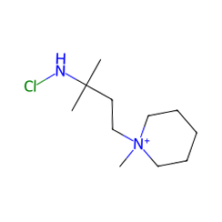 CC(C)(CC[N+]1(C)CCCCC1)NCl